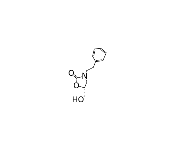 O=C1O[C@@H](CO)CN1CCc1ccccc1